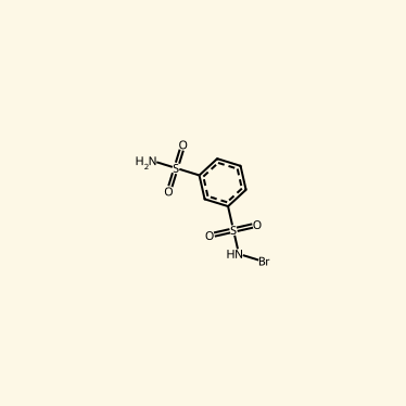 NS(=O)(=O)c1cccc(S(=O)(=O)NBr)c1